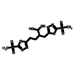 CS(=O)(=O)c1nnc(CCC(Cc2nnc(S(C)(=O)=O)o2)C(O)O)o1